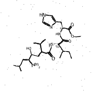 CCC(C)[C@H](NC(=O)C(CC(O)C(N)CC(C)C)C(C)C)C(=O)N[C@@H](Cc1c[nH]cn1)C(=O)OC